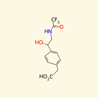 O=C(O)Cc1ccc(C(O)CNC(=O)C(F)(F)F)cc1